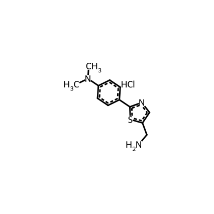 CN(C)c1ccc(-c2ncc(CN)s2)cc1.Cl